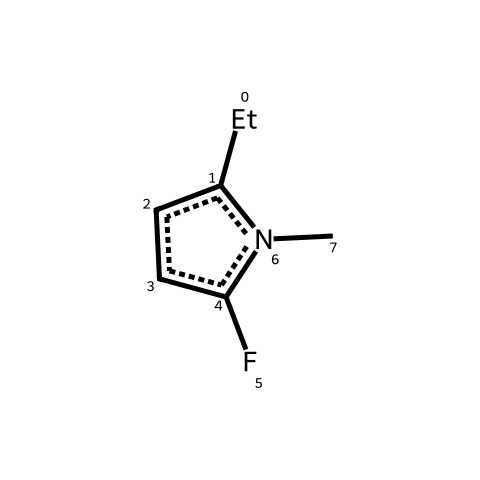 CCc1ccc(F)n1C